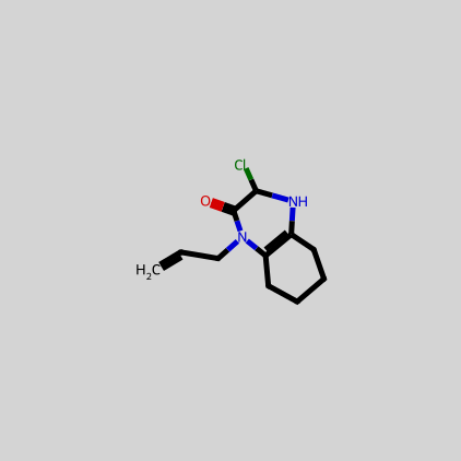 C=CCN1C(=O)C(Cl)NC2=C1CCCC2